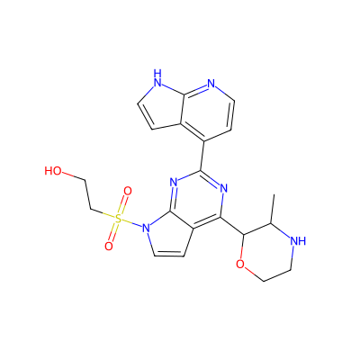 CC1NCCOC1c1nc(-c2ccnc3[nH]ccc23)nc2c1ccn2S(=O)(=O)CCO